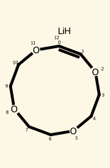 C1=C\OCCOCCOCCO/1.[LiH]